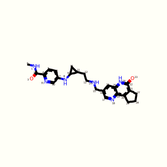 CNC(=O)c1ccc(NC2CC2CCNCc2cnc3c4c(c(=O)[nH]c3c2)CCC4)cn1